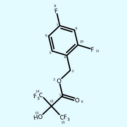 O=C(OCc1ccc(F)cc1F)C(O)(C(F)(F)F)C(F)(F)F